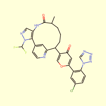 CC1CCCC(c2coc(-c3cc(Cl)ccc3-n3cnnn3)cc2=O)c2cc(ccn2)-c2c(cnn2C(F)F)NC1=O